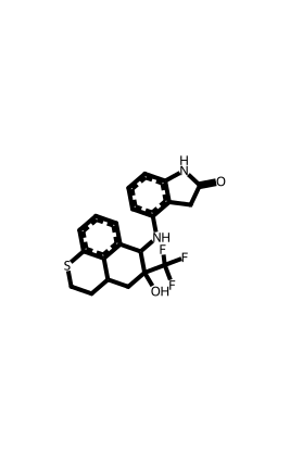 O=C1Cc2c(cccc2NC2c3cccc4c3C(CCS4)CC2(O)C(F)(F)F)N1